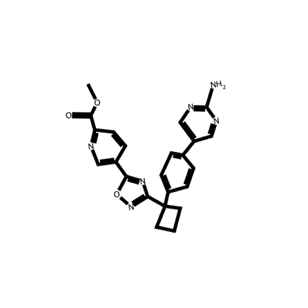 COC(=O)c1ccc(-c2nc(C3(c4ccc(-c5cnc(N)nc5)cc4)CCC3)no2)cn1